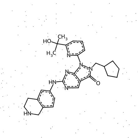 CC(C)(O)c1cccc(-n2c3nc(Nc4ccc5c(c4)CCNC5)ncc3c(=O)n2CC2CCCC2)n1